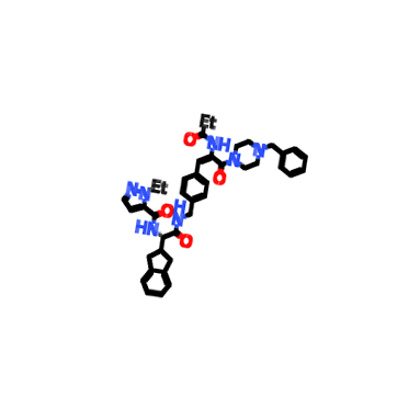 CCC(=O)N/C(=C/c1ccc(CNC(=O)[C@@H](NC(=O)c2ccnn2CC)C2Cc3ccccc3C2)cc1)C(=O)N1CCN(Cc2ccccc2)CC1